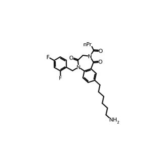 CCCC(=O)N1CC(=O)N(Cc2ccc(F)cc2F)c2ccc(CCCCCCN)cc2C1=O